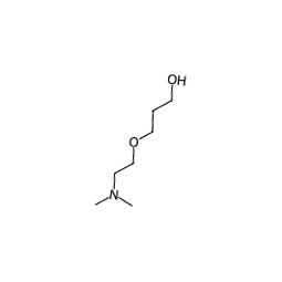 CN(C)CCOCCCO